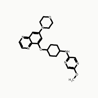 COc1cnc(NC2CCC(Oc3cc(N4CCOCC4)cc4nccnc34)CC2)cn1